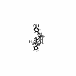 CC(C)(C(=O)Nc1nc(-c2ccc(O)cc2)n[nH]1)S(=O)(=O)C1CCCC1